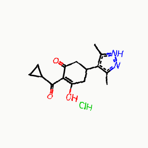 Cc1n[nH]c(C)c1C1CC(=O)C(C(=O)C2CC2)=C(O)C1.Cl